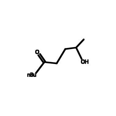 CCCCC(=O)CCC(C)O